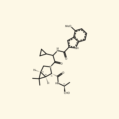 COc1cccc2[nH]c(C(=O)NC(C(=O)N3C[C@H]4[C@@H]([C@H]3C(=O)N[C@@H](C)C=O)C4(C)C)C3CC3)cc12